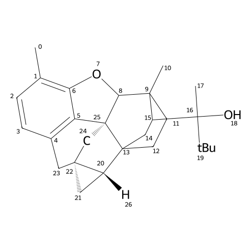 Cc1ccc2c3c1OC1C4(C)CCC5(CC4C(C)(O)C(C)(C)C)[C@@H]4C[C@]4(C2)C[C@]315